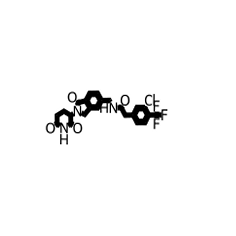 O=C(Cc1ccc(C(F)(F)F)c(Cl)c1)NCc1ccc2c(c1)CN(C1CCC(=O)NC1=O)C2=O